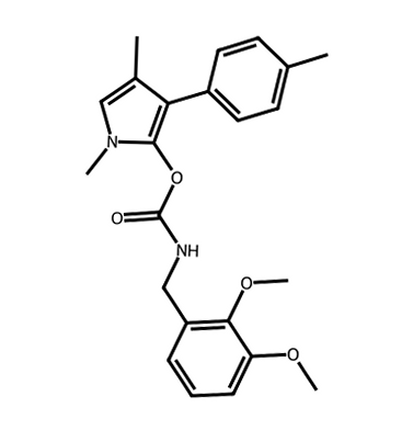 COc1cccc(CNC(=O)Oc2c(-c3ccc(C)cc3)c(C)cn2C)c1OC